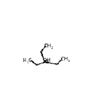 CCCCCCCC/C=C\CCCCCCCCCCCCC(CCCCCCCC/C=C\CCCCCCCC)(CCCCCCCCCC/C=C\CCCCCCCC)C(=O)O